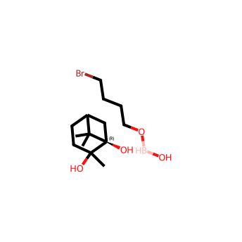 CC1(O)CCC2C[C@@]1(O)C2(C)C.OBOCCCCBr